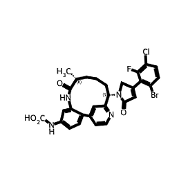 C[C@@H]1CCC[C@H](N2CC(c3c(Br)ccc(Cl)c3F)=CC2=O)c2cc(ccn2)-c2ccc(NC(=O)O)cc2NC1=O